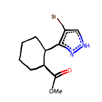 COC(=O)C1CCCCC1c1n[nH]cc1Br